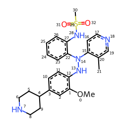 COc1cc(C2CCNCC2)ccc1NN(c1ccncc1C)c1ccccc1NS(C)(=O)=O